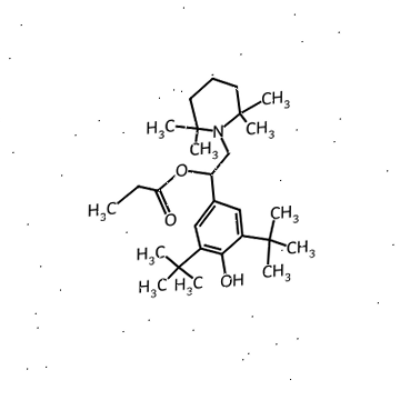 CCC(=O)OC(CN1C(C)(C)C[CH]CC1(C)C)c1cc(C(C)(C)C)c(O)c(C(C)(C)C)c1